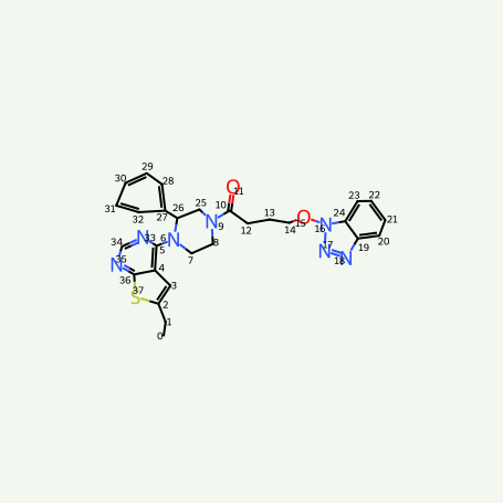 CCc1cc2c(N3CCN(C(=O)CCCOn4nnc5ccccc54)CC3c3ccccc3)ncnc2s1